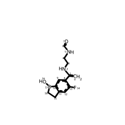 C=C(NCCNC=O)c1cc2c(cc1F)CCB2O